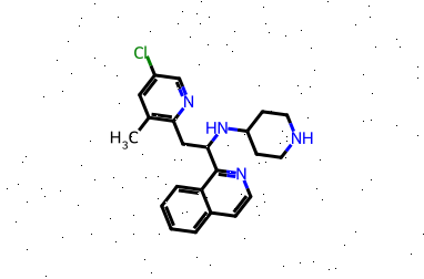 Cc1cc(Cl)cnc1CC(NC1CCNCC1)c1nccc2ccccc12